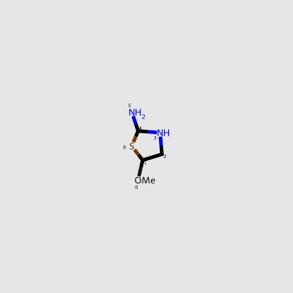 COC1CNC(N)S1